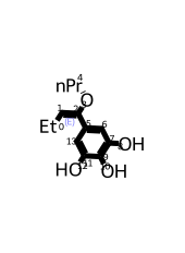 CC/C=C(/OCCC)c1cc(O)c(O)c(O)c1